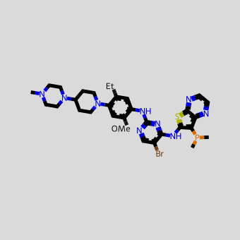 CCc1cc(Nc2ncc(Br)c(Nc3sc4nccnc4c3P(C)C)n2)c(OC)cc1N1CCC(N2CCN(C)CC2)CC1